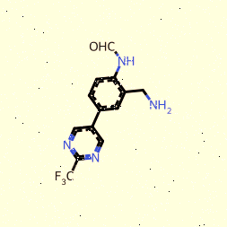 NCc1cc(-c2cnc(C(F)(F)F)nc2)ccc1NC=O